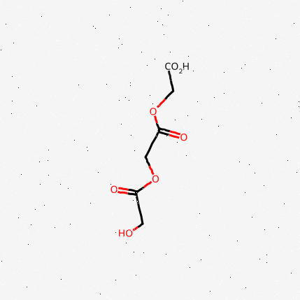 O=C(O)COC(=O)COC(=O)CO